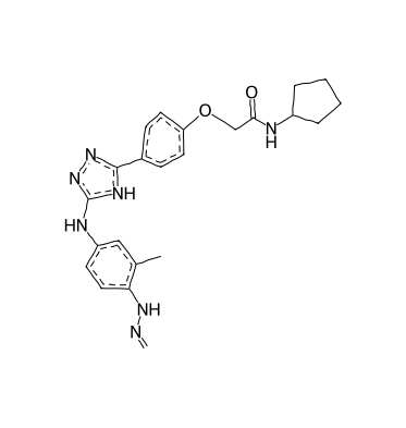 C=NNc1ccc(Nc2nnc(-c3ccc(OCC(=O)NC4CCCC4)cc3)[nH]2)cc1C